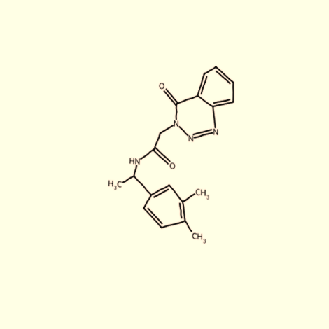 Cc1ccc(C(C)NC(=O)Cn2nnc3ccccc3c2=O)cc1C